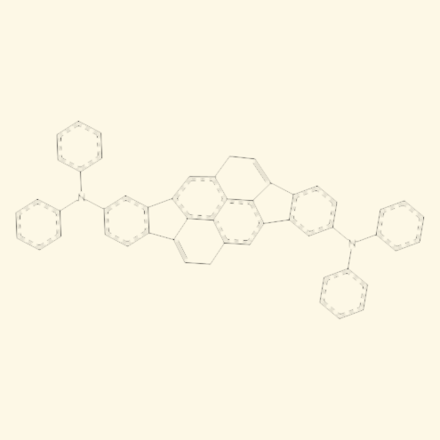 C1=C2c3ccc(N(c4ccccc4)c4ccccc4)cc3-c3cc4c5c6c(cc(c5c32)C1)-c1cc(N(c2ccccc2)c2ccccc2)ccc1C6=CC4